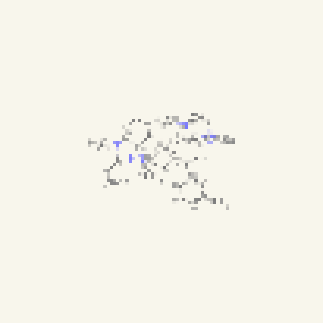 CNCCN(C)[C@H]1CCCC[C@@H]1NC(C)(C)CC1=C(c2cccc(C(F)(F)F)c2)C[C@H](NC(C)(C)C)[C@@H](N(C)C)C1